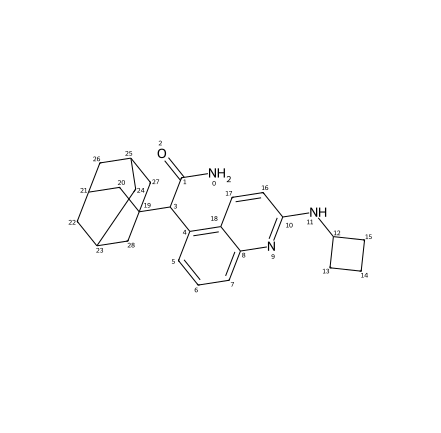 NC(=O)C(c1cccc2nc(NC3CCC3)ccc12)C12CC3CC(CC(C3)C1)C2